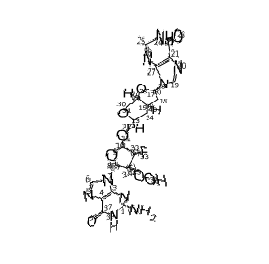 Nc1nc2c(ncn2[C@@H]2OC(OPC3C[C@H]4C[C@H](n5cnc6c(=O)[nH]cnc65)O[C@@H]4CO3)[C@@H](F)[C@H]2OO)c(=O)[nH]1